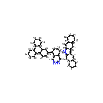 c1ccc2cc3c(cc2c1)c1cc2ccccc2cc1n3-c1ccc(-c2ccc3c4ccccc4c4ccccc4c3c2)c2cnncc12